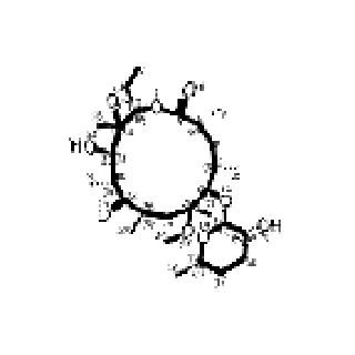 CC[C@H]1OC(=O)[C@H](C)C[C@H](C)C(O[C@@H]2O[C@H](C)CC[C@H]2O)[C@](C)(OC)C[C@@H](C)C(=O)[C@H](C)[C@@H](O)[C@]1(C)O